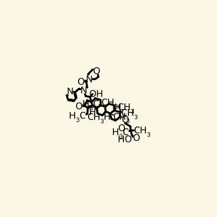 CC(C)C1=C2[C@H]3CC[C@@H]4[C@@]5(C)CC[C@H](OC(=O)CC(C)(C)C(=O)O)C(C)(C)[C@@H]5CC[C@@]4(C)[C@]3(C)CCC2(C(O)CN(CC(=O)N2CCOCC2)Cc2ccccn2)CC1=O